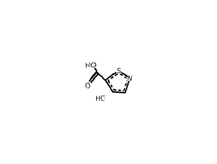 Cl.O=C(O)c1ccns1